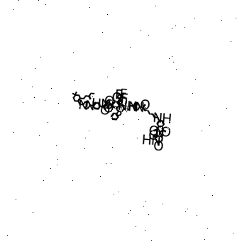 C=C(CC)CCC1=C(CN2CCN(c3ccc(C(=O)NS(=O)(=O)c4ccc(N[C@H](CCN5CCN(C(=O)CCCCCNc6ccc7c(c6)C(=O)N(C6CCC(=O)NC6=O)C7=O)CC5)CSc5ccccc5)c(S(=O)(=O)C(F)(F)F)c4)cc3)CC2)CCC(C)(C)C1